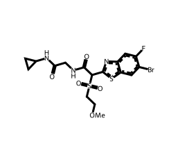 COCCS(=O)(=O)C(C(=O)NCC(=O)NC1CC1)c1nc2cc(F)c(Br)cc2s1